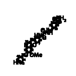 COc1cc2c(Oc3ccc(NC(=O)C(=O)NCCc4ccc(S(N)(=O)=O)cc4)cc3F)ccnc2cc1OCC1CCNCC1